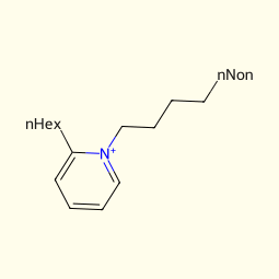 CCCCCCCCCCCCC[n+]1ccccc1CCCCCC